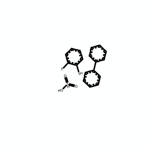 Fc1ccccc1S.O=[SH](=O)O.c1ccc(-c2ccccc2)cc1